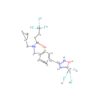 O=C(CCC(F)(F)F)N(Cc1ccc(-c2noc(C(F)(F)F)n2)cc1)CC1CC1